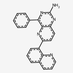 Nc1nc(-c2ccccc2)c2nc(-c3cccc4cccnc34)ccc2n1